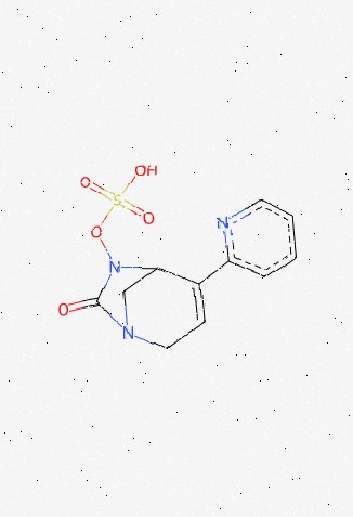 O=C1N2CC=C(c3ccccn3)C(C2)N1OS(=O)(=O)O